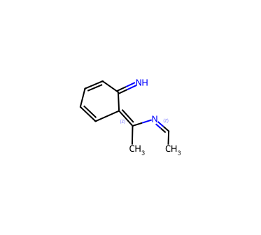 C/C=N\C(C)=C1\C=CC=CC1=N